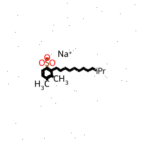 Cc1ccc(S(=O)(=O)[O-])c(CCCCCCCCCC(C)C)c1C.[Na+]